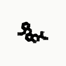 CC(C)(C)[S+]([O-])NCc1c(Br)cccc1Sc1ncccc1CO